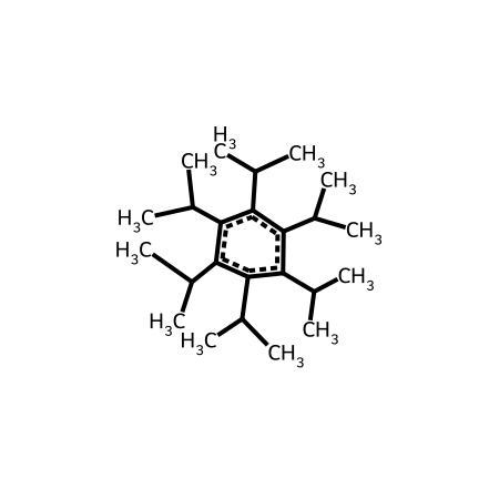 CC(C)c1c(C(C)C)c(C(C)C)c(C(C)C)c(C(C)C)c1C(C)C